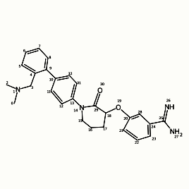 CN(C)Cc1ccccc1-c1ccc(N2CCCC(Oc3cccc(C(=N)N)c3)C2=O)cc1